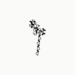 [2H]CC1OC(n2cnc3c(C)ncnc32)C(OC)C1OP(OCCOCCOCCOCCOC)N(C(C)C)C(C)C